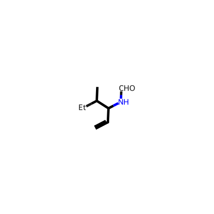 C=CC(NC=O)C(C)CC